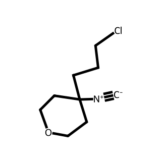 [C-]#[N+]C1(CCCCl)CCOCC1